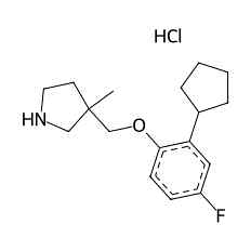 CC1(COc2ccc(F)cc2C2CCCC2)CCNC1.Cl